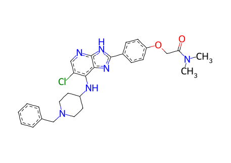 CN(C)C(=O)COc1ccc(-c2nc3c(NC4CCN(Cc5ccccc5)CC4)c(Cl)cnc3[nH]2)cc1